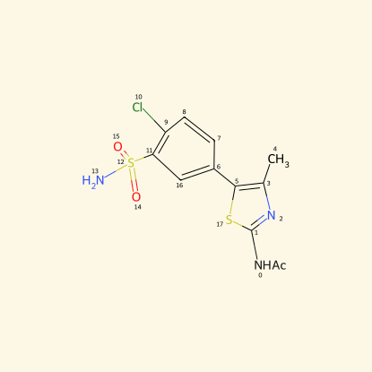 CC(=O)Nc1nc(C)c(-c2ccc(Cl)c(S(N)(=O)=O)c2)s1